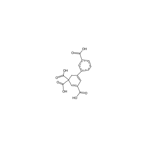 O=C(O)C1=CC(C(=O)O)(C(=O)O)CC(c2cccc(C(=O)O)c2)=C1